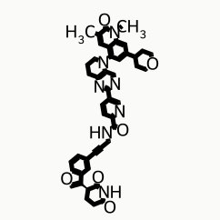 Cc1cc2c(N3CCCc4nc(-c5ccc(C(=O)NCC#Cc6ccc7occ([C@@H]8CCC(=O)NC8=O)c7c6)nc5)ncc43)cc(C3CCOCC3)cc2n(C)c1=O